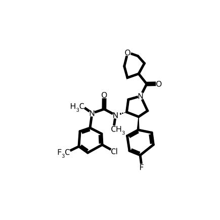 CN(C(=O)N(C)[C@@H]1CN(C(=O)C2CCOCC2)C[C@H]1c1ccc(F)cc1)c1cc(Cl)cc(C(F)(F)F)c1